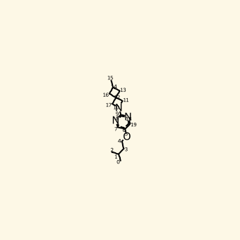 CC(C)CCOc1cnc(N2CC3(CC(C)C3)C2)nc1